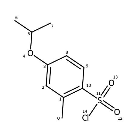 Cc1cc(OC(C)C)ccc1S(=O)(=O)Cl